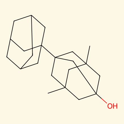 CC12CC3(C)CC(O)(C1)CC(C14CC5CC(CC(C5)C1)C4)(C2)C3